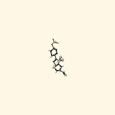 CN(C)Cc1ccc(C2=Cc3ncc(C#N)cc3S2(=O)=O)cc1